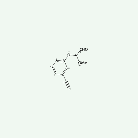 C#Cc1cccc(OC(C=O)OC)c1